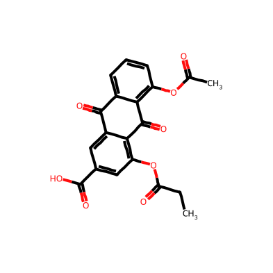 CCC(=O)Oc1cc(C(=O)O)cc2c1C(=O)c1c(OC(C)=O)cccc1C2=O